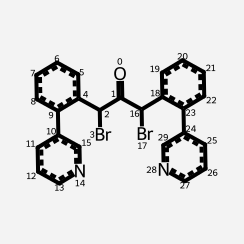 O=C(C(Br)c1ccccc1-c1cccnc1)C(Br)c1ccccc1-c1cccnc1